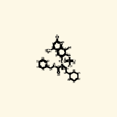 Cc1cc(=O)oc2c(F)c(OS(=O)(=O)C[C@H](CC3CCCCC3)NC(=O)OCc3ccccc3)c(F)cc12